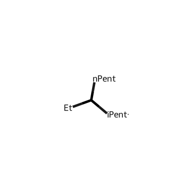 CCCCCC(CC)[C](C)CCC